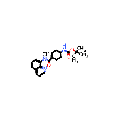 CN(C(=O)C1CCC(NC(=O)OC(C)(C)C)CC1)c1cccc2cccnc12